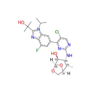 CC(C)n1c(C(C)(C)O)nc2c(F)cc(-c3nc(N[C@@H]4[C@H](C)[C@H]5CO[C@H](O5)[C@H]4O)ncc3Cl)cc21